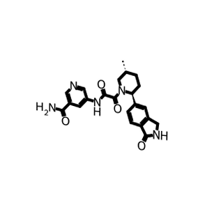 C[C@@H]1CC[C@@H](c2ccc3c(c2)CNC3=O)N(C(=O)C(=O)Nc2cncc(C(N)=O)c2)C1